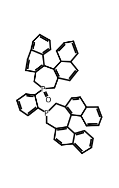 O=P1(c2ccccc2P2CC3=C(c4c(ccc5ccccc45)C2)C2C=CC=CC2C=C3)CC2=C(c3c(ccc4ccccc34)C1)C1C=CC=CC1C=C2